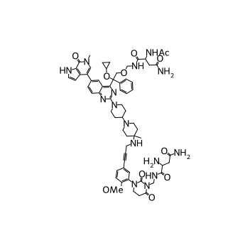 COc1ccc(C#CCNC2(C)CCN(C3CCN(c4nc(C(COCNC(=O)C(CC(N)=O)NC(C)=O)(OC5CC5)c5ccccc5)c5cc(-c6cn(C)c(=O)c7[nH]ccc67)ccc5n4)CC3)CC2)cc1N1CCC(=O)N(CNC(=O)C(N)CC(N)=O)C1=O